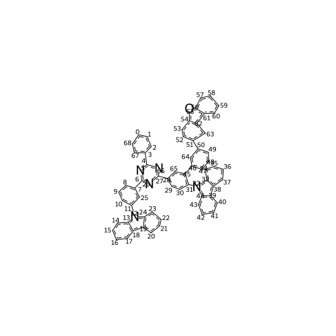 c1ccc(-c2nc(-c3cccc(-n4c5ccccc5c5ccccc54)c3)nc(-c3ccc(-n4c5ccccc5c5ccccc54)c(-c4cccc(-c5ccc6oc7ccccc7c6c5)c4)c3)n2)cc1